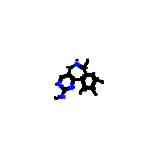 CNc1ncc2c(n1)-c1c(cc(C)c(C)c1C)C(C)=NC2